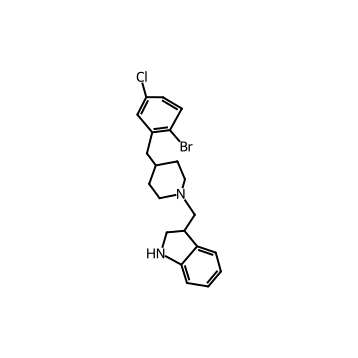 Clc1ccc(Br)c(CC2CCN(CC3CNc4ccccc43)CC2)c1